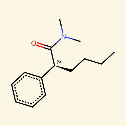 CCCC[C@H](C(=O)N(C)C)c1ccccc1